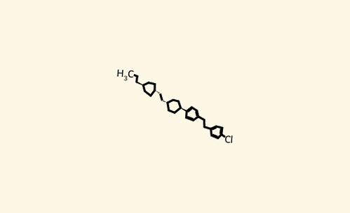 CCC[C@H]1CC[C@H](CC[C@H]2CC[C@H](c3ccc(CCc4ccc(Cl)cc4)cc3)CC2)CC1